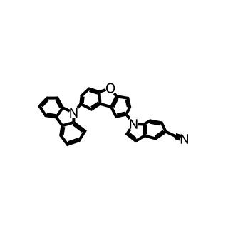 N#Cc1ccc2c(ccn2-c2ccc3oc4ccc(-n5c6ccccc6c6ccccc65)cc4c3c2)c1